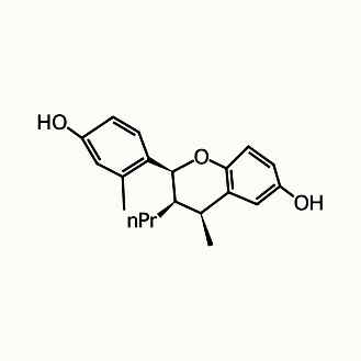 CCC[C@@H]1[C@H](C)c2cc(O)ccc2O[C@@H]1c1ccc(O)cc1C